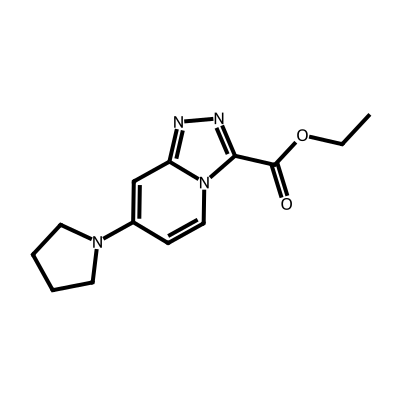 CCOC(=O)c1nnc2cc(N3CCCC3)ccn12